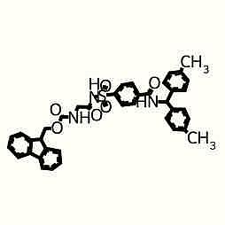 Cc1ccc(C(NC(=O)c2ccc(S(=O)(=O)NC(=O)CNC(=O)OCC3c4ccccc4-c4ccccc43)cc2)c2ccc(C)cc2)cc1